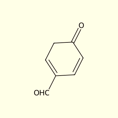 O=CC1=CCC(=O)C=C1